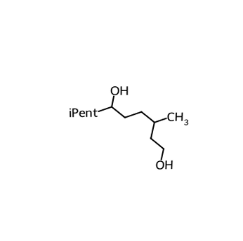 CCCC(C)C(O)CCC(C)CCO